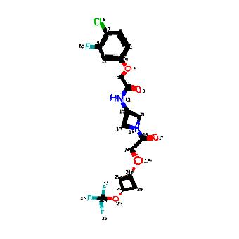 O=C(COc1ccc(Cl)c(F)c1)NC1CN(C(=O)CO[C@H]2C[C@@H](OC(F)(F)F)C2)C1